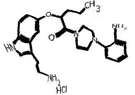 CCCC(Oc1ccc2[nH]cc(CCN)c2c1)C(=O)N1CCN(c2ccccc2N)CC1.Cl